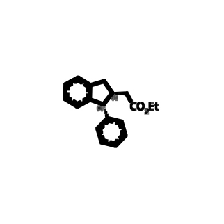 CCOC(=O)C[C@@H]1Cc2ccccc2[C@H]1c1ccccc1